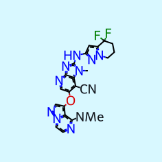 CNc1nccn2ncc(Oc3cnc4nc(Nc5cc6n(n5)CCCC6(F)F)n(C)c4c3C#N)c12